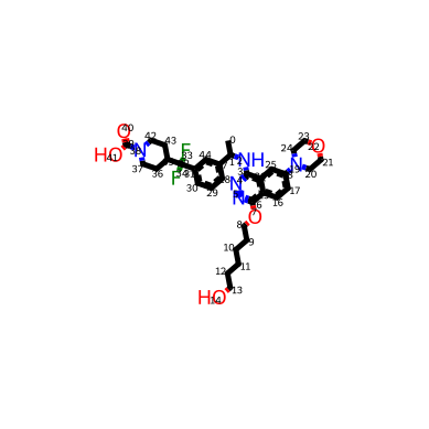 CC(Nc1nnc(OCCCCCCO)c2ccc(N3CCOCC3)cc12)c1cccc(C(F)(F)C2CCN(C(=O)O)CC2)c1